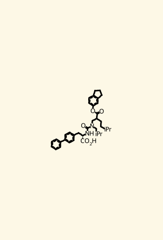 CC(C)CCC(CN(CC(C)C)C(=O)N[C@@H](Cc1ccc(-c2ccccc2)cc1)C(=O)O)C(=O)Oc1ccc2c(c1)CCC2